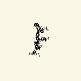 CC(C)c1ccccc1[C@@H]1CN(Cc2ccc3c(c2)OCC3)CCN1C1CC2(CCN(c3ccc(C(=O)NS(=O)(=O)c4ccc(NC[C@H]5CC[C@](C)(O)CC5)c([N+](=O)[O-])c4)c(Oc4cnc5[nH]cc(F)c5c4)c3)CC2)C1